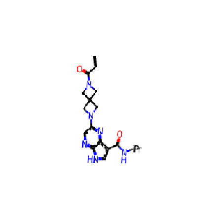 C=CC(=O)N1CC2(C1)CN(c1cnc3[nH]cc(C(=O)NC(C)C)c3n1)C2